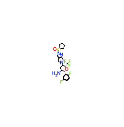 N[C@H]1C[C@@H](N2Cc3cn([S+]([O-])C4CCCC4)nc3C2)[C@H](C(F)(F)F)O[C@@H]1c1cc(F)ccc1F